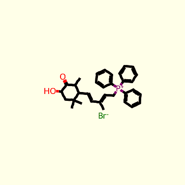 CC(C=CC1C(C)C(=O)C(O)CC1(C)C)=CC[P+](c1ccccc1)(c1ccccc1)c1ccccc1.[Br-]